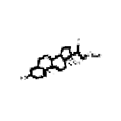 CC(=O)OCC(=O)[C@@]1(O)CCC2C3CCC4=CC(O)CC[C@]4(C)C3=CC[C@@]21C